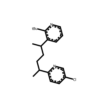 CC(CCC(C)c1cccnc1C(C)(C)C)c1ccc(Cl)cn1